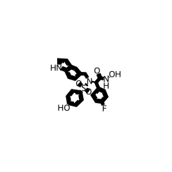 O=C(NO)[C@@H](c1ccc(F)cc1)N(Cc1ccc2[nH]ccc2c1)S(=O)(=O)c1ccc(O)cc1